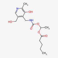 CCCCC(=O)OC(C)OC(=O)NCc1c(CO)cnc(C)c1O